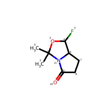 CC1(C)OC(F)C2CCC(=O)N21